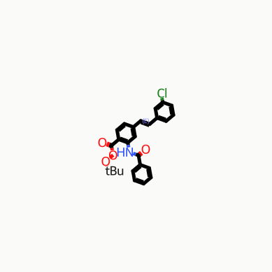 CC(C)(C)OOC(=O)c1ccc(/C=C/c2cccc(Cl)c2)cc1NC(=O)c1ccccc1